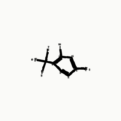 Fc1ccc(C(F)(F)F)c(I)c1